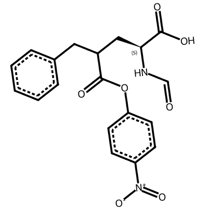 O=CN[C@@H](CC(Cc1ccccc1)C(=O)Oc1ccc([N+](=O)[O-])cc1)C(=O)O